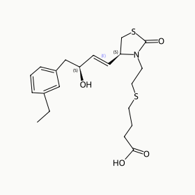 CCc1cccc(C[C@H](O)/C=C/[C@H]2CSC(=O)N2CCSCCCC(=O)O)c1